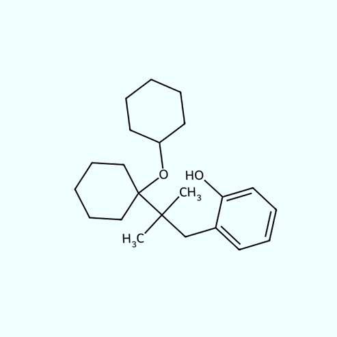 CC(C)(Cc1ccccc1O)C1(OC2CCCCC2)CCCCC1